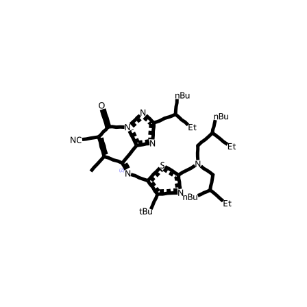 CCCCC(CC)CN(CC(CC)CCCC)c1nc(C(C)(C)C)c(/N=C2/C(C)=C(C#N)C(=O)n3nc(C(CC)CCCC)nc32)s1